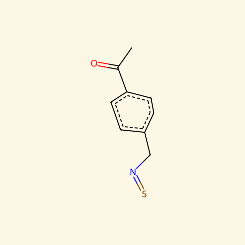 CC(=O)c1ccc(CN=S)cc1